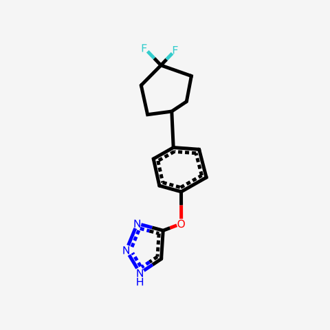 FC1(F)CCC(c2ccc(Oc3c[nH]nn3)cc2)CC1